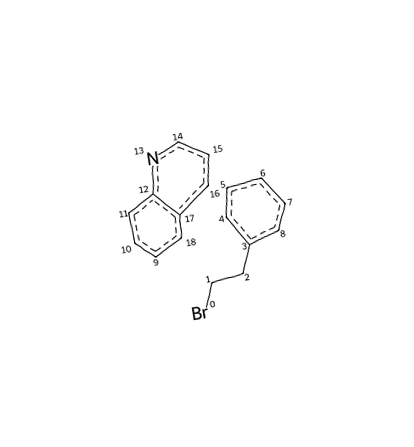 BrCCc1ccccc1.c1ccc2ncccc2c1